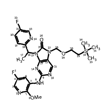 COc1ncc(F)cc1Nc1ncc2c(n1)n(C(C)c1ccc(F)cn1)c(=O)n2COCC[Si](C)(C)C